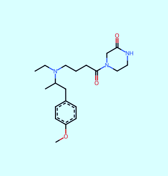 CCN(CCCC(=O)N1CCNC(=O)C1)C(C)Cc1ccc(OC)cc1